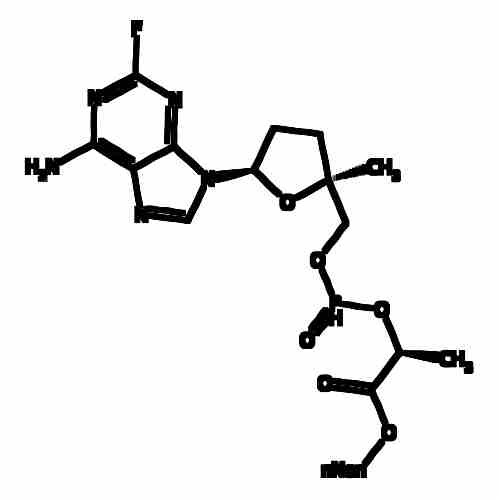 CCCCCCCCCOC(=O)[C@H](C)O[PH](=O)OC[C@]1(C)CC[C@H](n2cnc3c(N)nc(F)nc32)O1